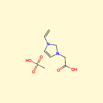 C=CN1C=CN(CC(=O)O)C1.CS(=O)(=O)O